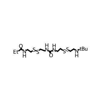 CCC(=O)NCCSSCCNC(=O)NCCSSCCNC(C)(C)C